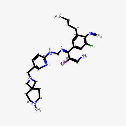 C=Nc1c(F)cc(C(=N/CNc2ccc(CN3CC4(CCN(C)CC4)C3)cn2)/C(P)=C\N)cc1CCCNC